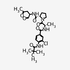 CC(=O)CC(C=O)NC(=O)[C@@H]1CCCN1C(=O)[C@H](C)NC(=O)c1ccc(NC(=O)C(C)(C)C)c(Cl)c1